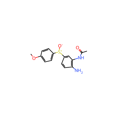 COc1ccc([S+]([O-])c2ccc(N)c(NC(C)=O)c2)cc1